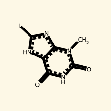 Cn1c(=O)[nH]c(=O)c2[nH]c(I)nc21